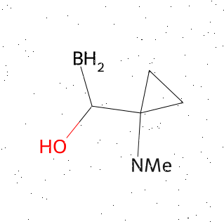 BC(O)C1(NC)CC1